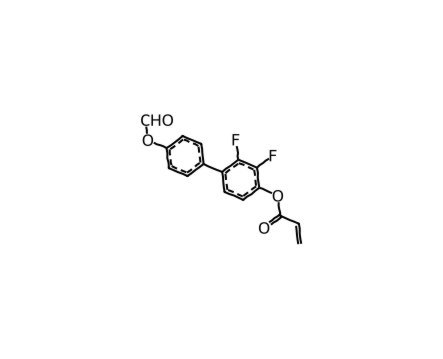 C=CC(=O)Oc1ccc(-c2ccc(OC=O)cc2)c(F)c1F